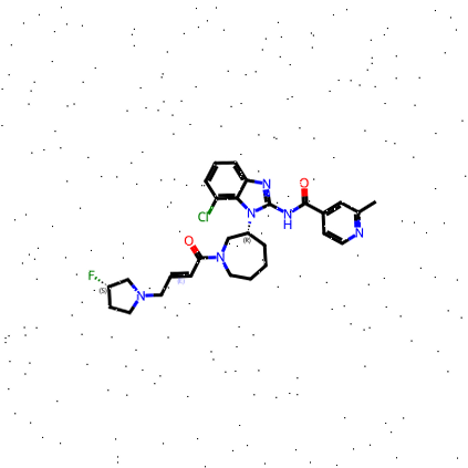 Cc1cc(C(=O)Nc2nc3cccc(Cl)c3n2[C@@H]2CCCCN(C(=O)/C=C/CN3CC[C@H](F)C3)C2)ccn1